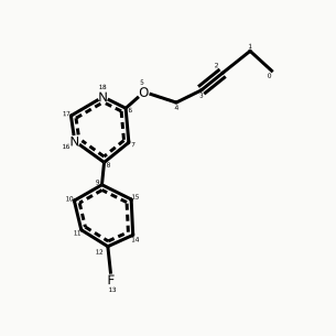 CCC#CCOc1cc(-c2ccc(F)cc2)ncn1